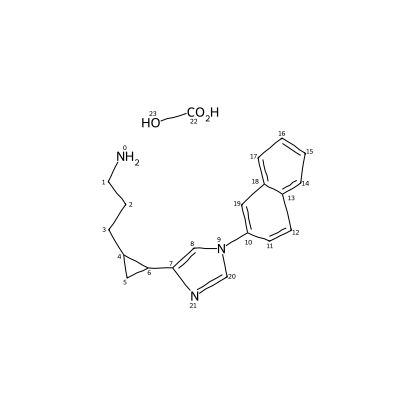 NCCCC1CC1c1cn(-c2ccc3ccccc3c2)cn1.O=C(O)O